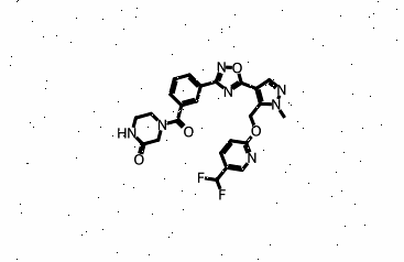 Cn1ncc(-c2nc(-c3cccc(C(=O)N4CCNC(=O)C4)c3)no2)c1COc1ccc(C(F)F)cn1